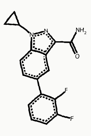 NC(=O)c1nn(C2CC2)c2ccc(-c3cccc(F)c3F)cc12